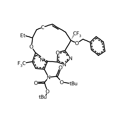 CCC1CCC=CC[C@](OCc2ccccc2)(C(F)(F)F)c2nnc(o2)-c2nc(c(C(F)(F)F)cc2N(C(=O)OC(C)(C)C)C(=O)OC(C)(C)C)O1